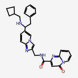 O=C(NCc1cn2cc(C(Cc3ccccc3)NCC3CCC3)ccc2n1)c1cc(=O)n2ccccc2n1